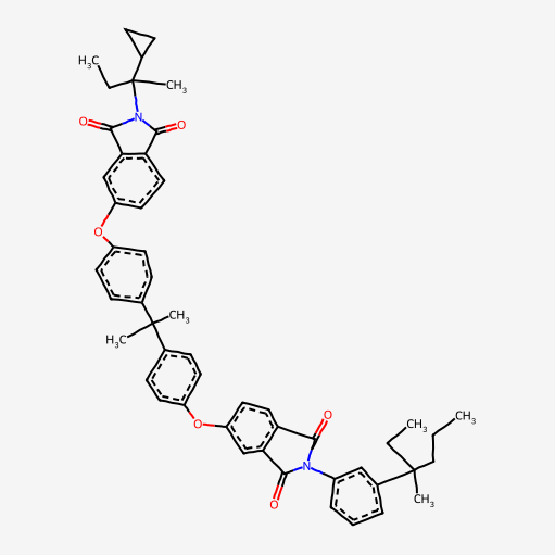 CCCC(C)(CC)c1cccc(N2C(=O)c3ccc(Oc4ccc(C(C)(C)c5ccc(Oc6ccc7c(c6)C(=O)N(C(C)(CC)C6CC6)C7=O)cc5)cc4)cc3C2=O)c1